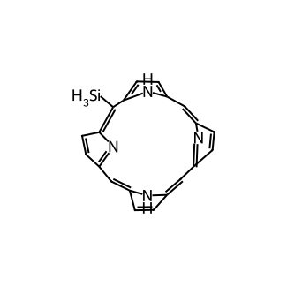 [SiH3]c1c2nc(cc3ccc(cc4nc(cc5ccc1[nH]5)C=C4)[nH]3)C=C2